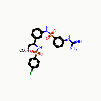 N=C(N)Nc1cccc(S(=O)(=O)Nc2cccc(C(CC(=O)O)NS(=O)(=O)c3ccc(F)cc3)c2)c1